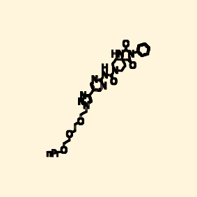 CCCOCCOCCOCCn1cc(-c2cnc(NC(=O)N3CCC4(CC3)NC(=O)N(c3ccccc3)C4=O)nc2)nn1